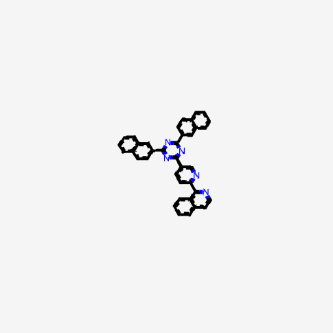 c1ccc2cc(-c3nc(-c4ccc(-c5nccc6ccccc56)nc4)nc(-c4ccc5ccccc5c4)n3)ccc2c1